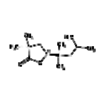 CC(C)CC(C)(C)[C@@H]1CC(C)(C)C(=O)O1